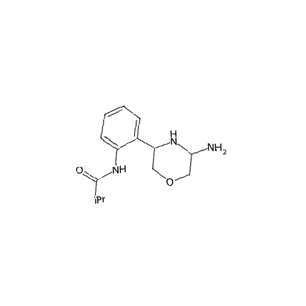 CC(C)C(=O)Nc1ccccc1C1COCC(N)N1